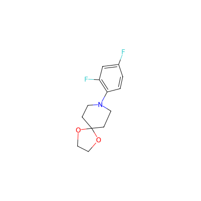 Fc1ccc(N2CCC3(CC2)OCCO3)c(F)c1